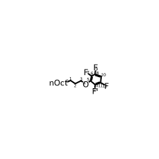 CCCCCCCCCCCOc1c(F)c(F)[c]c(F)c1F